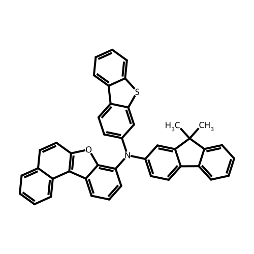 CC1(C)c2ccccc2-c2ccc(N(c3ccc4c(c3)sc3ccccc34)c3cccc4c3oc3ccc5ccccc5c34)cc21